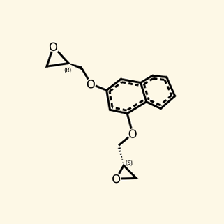 c1ccc2c(OC[C@@H]3CO3)cc(OC[C@H]3CO3)cc2c1